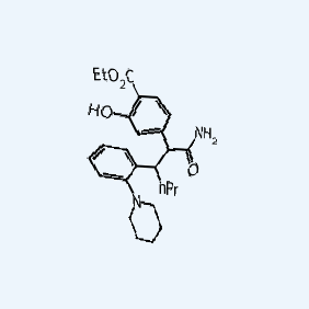 CCCC(c1ccccc1N1CCCCC1)C(C(N)=O)c1ccc(C(=O)OCC)c(O)c1